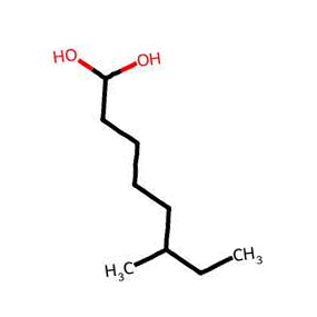 CCC(C)CCCCC(O)O